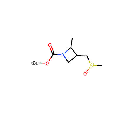 CC1C(C[S+](C)[O-])CN1C(=O)OC(C)(C)C